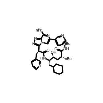 CCCCNC(=O)[C@H](CCCC)C[C@H](O)[C@H](CC1CCCCC1)NC(=O)[C@@H](Cc1cccnc1)c1nnc2c(CCC)nc(-c3cccnc3)cn12